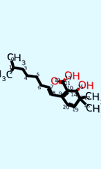 CC(C)CCCCC=CC1=C(C(=O)O)C(O)C(C)(C)C=C1